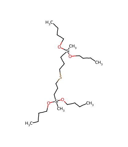 CCCCO[Si](C)(CCCSCCC[Si](C)(OCCCC)OCCCC)OCCCC